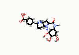 COc1cc(N(C)C(=O)c2cc3nc(-c4ccc(C(=O)O)cc4)ccc3[nH]2)cc(OC)c1OC